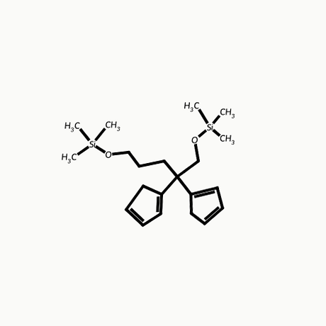 C[Si](C)(C)OCCCC(CO[Si](C)(C)C)(C1=CC=CC1)C1=CC=CC1